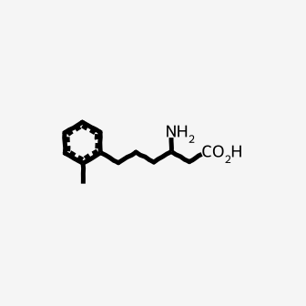 Cc1ccccc1CCCC(N)CC(=O)O